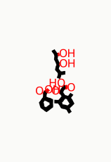 CC(C)CC(O)CC(C)O.Cc1cc(C)c(C(=O)C(=O)O)c(C)c1.O=C(O)c1ccccc1